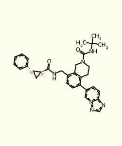 CC(C)(C)NC(=O)N1CCc2c(-c3ccc4ncnn4c3)ccc(CNC(=O)[C@H]3C[C@@H]3c3ccccc3)c2C1